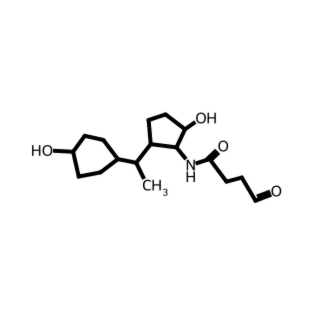 CC(C1CCC(O)CC1)C1CCC(O)C1NC(=O)CCC=O